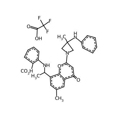 Cc1cc(C(C)Nc2ccccc2C(=O)O)c2oc(N3CC(C)(Nc4ccccc4)C3)cc(=O)c2c1.O=C(O)C(F)(F)F